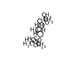 CC(=O)[C@H]1CC[C@H]2[C@@H]3CC[C@H]4C[C@H](O[Si](C)(C)C(C)(C)C)CC[C@]4(C)[C@H]3CC[C@]12C(C)=O